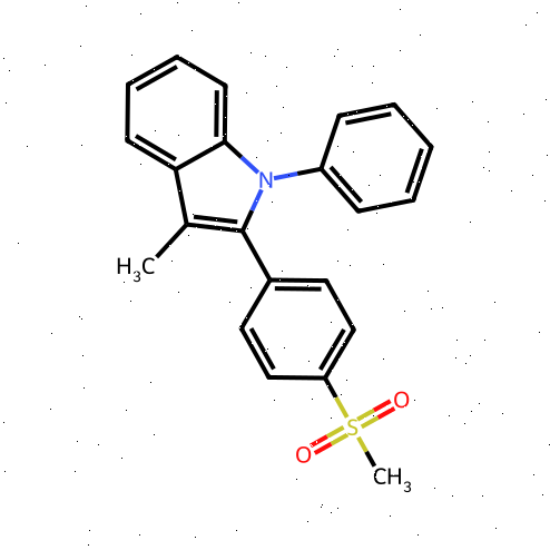 Cc1c(-c2ccc(S(C)(=O)=O)cc2)n(-c2ccccc2)c2ccccc12